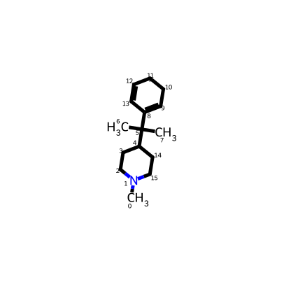 CN1CCC(C(C)(C)C2=CC[CH]C=C2)CC1